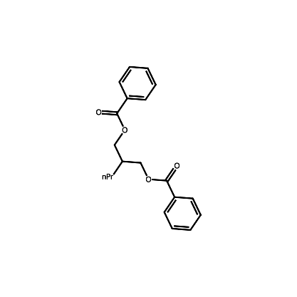 CCCC(COC(=O)c1ccccc1)COC(=O)c1ccccc1